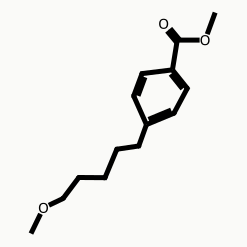 COCCCCCc1ccc(C(=O)OC)cc1